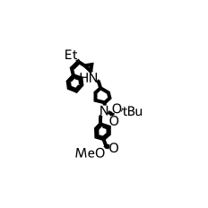 CCC(=Cc1ccccc1)C1CC1NCC1CCC(N(Cc2ccc(C(=O)OC)cc2)C(=O)OC(C)(C)C)CC1